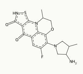 CC1CN(c2c(F)cc3c(=O)c4c(=O)[nH]sc4n4c3c2OCC4C)CC1N